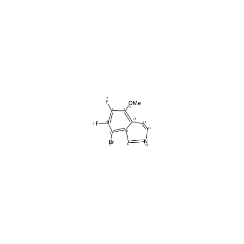 COc1c(F)c(F)c(Br)c2cnccc12